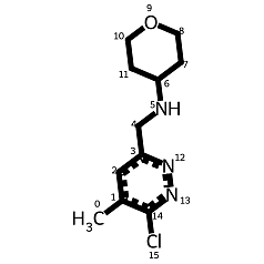 Cc1cc(CNC2CCOCC2)nnc1Cl